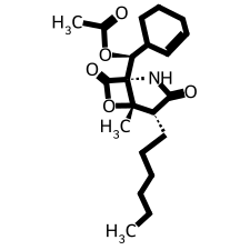 CCCCCC[C@H]1C(=O)N[C@@]2([C@@H](OC(C)=O)C3C=CCCC3)C(=O)O[C@@]12C